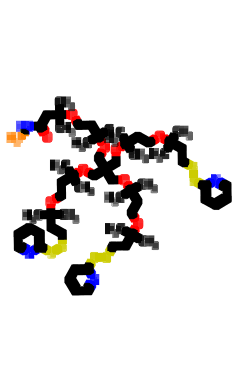 CC(C)(CCSSc1ccccn1)OCCC(C)(C)OCC(COC(C)(C)CCOC(C)(C)CCSSc1ccccn1)(COC(C)(C)CCOC(C)(C)CCSSc1ccccn1)COC(C)(C)CCOC(C)(C)CC(=O)NP